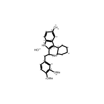 COc1ccc(CC2NC3CCCCC3c3c2[nH]c2ccc(C)cc32)cc1OC.Cl